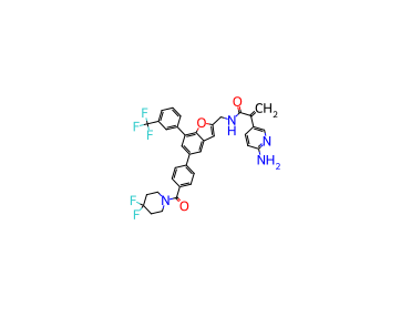 C=C(C(=O)NCc1cc2cc(-c3ccc(C(=O)N4CCC(F)(F)CC4)cc3)cc(-c3cccc(C(F)(F)F)c3)c2o1)c1ccc(N)nc1